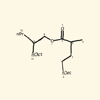 CCCCCCCCCCCCC(C)C(=O)OCC(CCC)CCCCCCCC